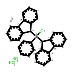 Cl.Cl.Cl[Si](c1ccccc1)(C1c2ccccc2-c2ccccc21)C1c2ccccc2-c2ccccc21.[Ti]